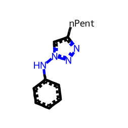 CCCCCc1cn(Nc2ccccc2)nn1